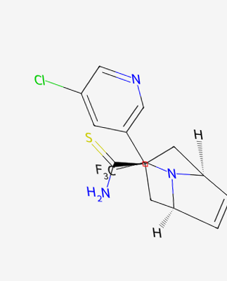 NC(=S)[C@@]1(c2cncc(Cl)c2)C[C@H]2C=C[C@@H](C1)N2CC(F)(F)F